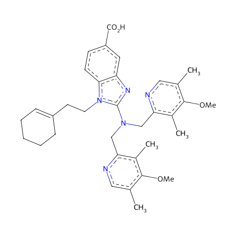 COc1c(C)cnc(CN(Cc2ncc(C)c(OC)c2C)c2nc3cc(C(=O)O)ccc3n2CCC2=CCCCC2)c1C